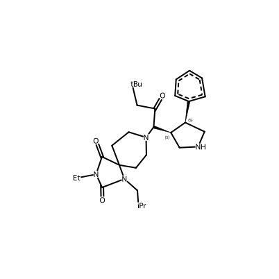 CCN1C(=O)N(CC(C)C)C2(CCN(C(C(=O)CC(C)(C)C)[C@@H]3CNC[C@@H]3c3ccccc3)CC2)C1=O